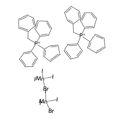 [Br][Mn-]([I])([I])[I].[Br][Mn-]([I])([I])[I].c1ccc(C[P+](c2ccccc2)(c2ccccc2)c2ccccc2)cc1.c1ccc(C[P+](c2ccccc2)(c2ccccc2)c2ccccc2)cc1